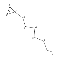 CCCCCC[CH]C1C=C1